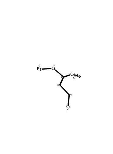 CCOC(CC[O])OC